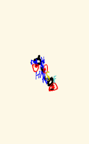 COc1cc2nc(NC(=O)Cn3cnc4c(C)cn(C)c(=O)c43)sc2cc1F